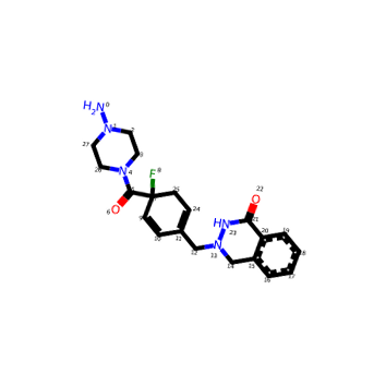 NN1CCN(C(=O)C2(F)C=CC(CN3Cc4ccccc4C(=O)N3)=CC2)CC1